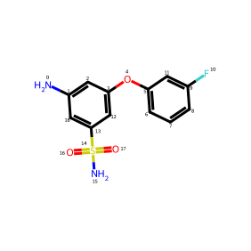 Nc1cc(Oc2cccc(F)c2)cc(S(N)(=O)=O)c1